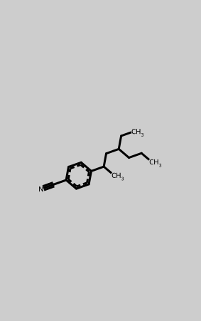 CCCC(CC)CC(C)c1ccc(C#N)cc1